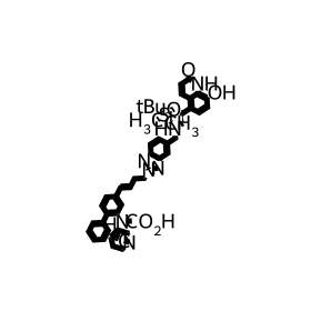 CC(C)(C)[Si](C)(C)O[C@@H](CNCc1ccc2nn(CC/C=C/c3ccc(-c4ccccc4)c(N(C(=O)O)[C@H]4CN5CCC4CC5)c3)nc2c1)c1ccc(O)c2[nH]c(=O)ccc12